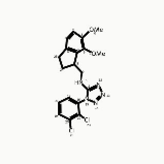 COc1ccc2c(c1OC)C(CNc1nnnn1-c1cccc(Cl)c1Cl)CC2